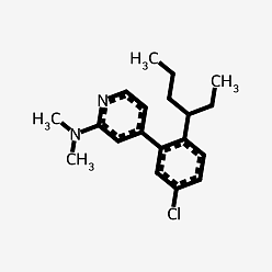 CCCC(CC)c1ccc(Cl)cc1-c1ccnc(N(C)C)c1